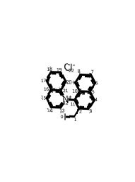 ICc1ccc2ccccc2c1-[n+]1cccc2ccccc21.[Cl-]